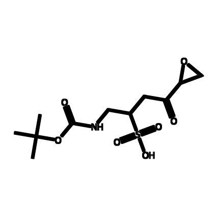 CC(C)(C)OC(=O)NCC(CC(=O)C1CO1)S(=O)(=O)O